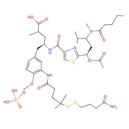 CCCCC(=O)N(C)C(C[C@@H](OC(C)=O)c1nc(C(=O)N[C@@H](Cc2ccc(OCOP(=O)(O)O)c(NC(=O)CCC(C)(C)SSCCCC(N)=O)c2)CC(C)C(=O)O)cs1)C(C)C